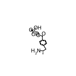 C[C@@H](N)Cc1ccc(C(=O)OCP(=O)(O)O)cc1